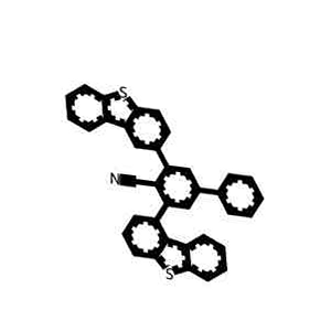 N#Cc1c(-c2ccc3sc4ccccc4c3c2)cc(-c2ccccc2)cc1-c1cccc2sc3ccccc3c12